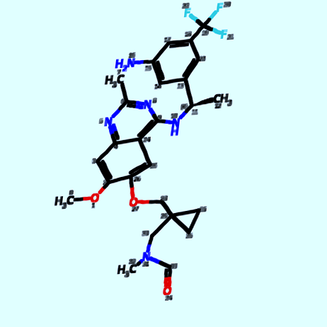 COc1cc2nc(C)nc(N[C@H](C)c3cc(N)cc(C(F)(F)F)c3)c2cc1OCC1(CN(C)C=O)CC1